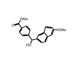 COC(=O)c1ccc(C(O)c2ccc3cc(OC)ccc3c2)cc1